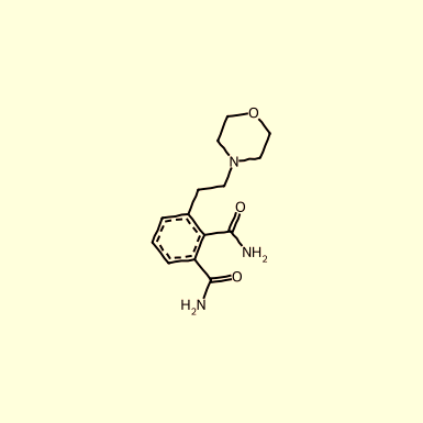 NC(=O)c1cccc(CCN2CCOCC2)c1C(N)=O